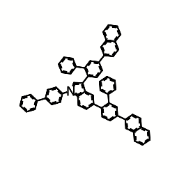 c1ccc(-c2ccc(-n3cc(-c4ccc(-c5ccc6ccccc6c5)cc4-c4ccccc4)c4cc(-c5ccc(-c6ccc7ccccc7c6)cc5-c5ccccc5)ccc43)cc2)cc1